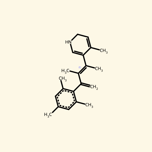 C=C(/C(C)=C(\C)C1=CNCC=C1C)c1c(C)cc(C)cc1C